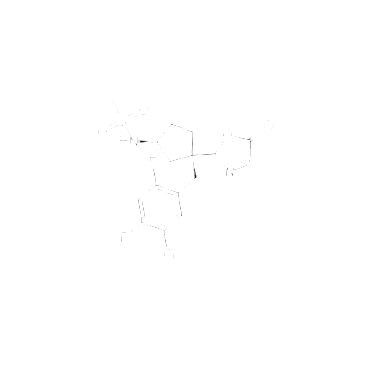 CS(=O)(=O)N[C@H]1CC[C@](Cc2cc(Cl)c(F)cc2F)(c2nsc(=O)o2)C1